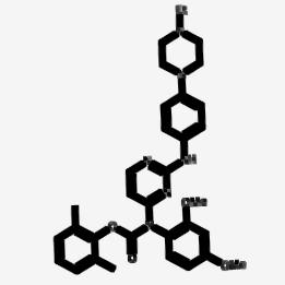 CCN1CCN(c2ccc(Nc3nccc(N(C(=O)Oc4c(C)cccc4C)c4ccc(OC)cc4OC)n3)cc2)CC1